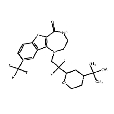 CC(C)(O)C1CCOC(C(F)(F)CN2CCNC(=O)c3oc4ccc(C(F)(F)F)cc4c32)C1